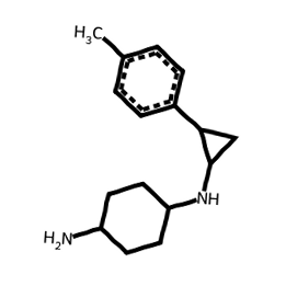 Cc1ccc(C2CC2NC2CCC(N)CC2)cc1